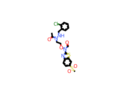 CC(=O)N(CCON(C=O)c1nc2ccc(S(C)(=O)=O)cc2s1)NCc1ccccc1Cl